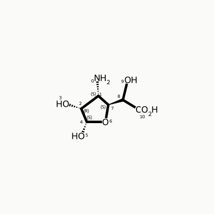 N[C@H]1[C@@H](O)[C@@H](O)O[C@@H]1C(O)C(=O)O